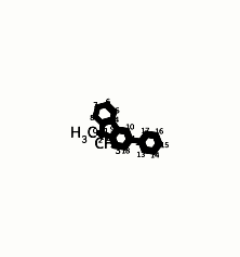 CC1(C)C2=C(C=CCC2)c2cc(-c3ccccc3)ccc21